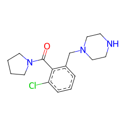 O=C(c1c(Cl)cccc1CN1CCNCC1)N1CCCC1